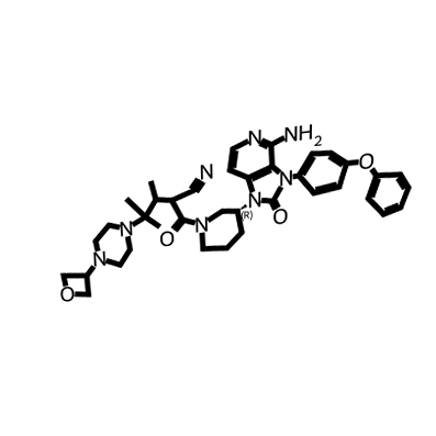 CC(C(C#N)C(=O)N1CCC[C@@H](n2c(=O)n(-c3ccc(Oc4ccccc4)cc3)c3c(N)nccc32)C1)C(C)(C)N1CCN(C2COC2)CC1